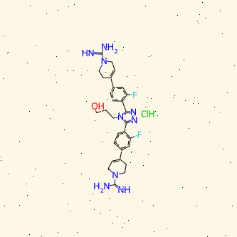 Cl.N=C(N)N1CC=C(c2ccc(-c3nnc(-c4ccc(C5=CCN(C(=N)N)CC5)cc4F)n3CCCO)c(F)c2)CC1